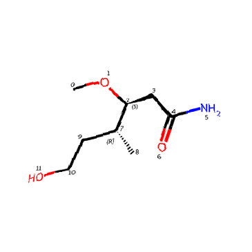 CO[C@@H](CC(N)=O)[C@H](C)CCO